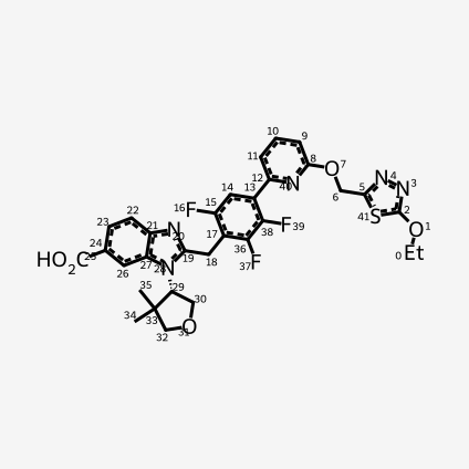 CCOc1nnc(COc2cccc(-c3cc(F)c(Cc4nc5ccc(C(=O)O)cc5n4[C@@H]4COCC4(C)C)c(F)c3F)n2)s1